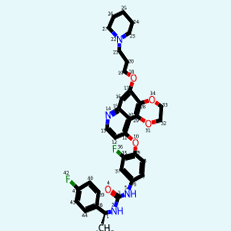 C[C@H](NC(=O)Nc1ccc(Oc2ccnc3cc(OCCCN4CCCCC4)c4c(c23)OCCO4)c(F)c1)c1ccc(F)cc1